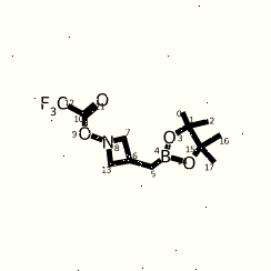 CC1(C)OB(CC2CN(OC(=O)C(F)(F)F)C2)OC1(C)C